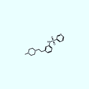 CN1CCN(CCc2cccc(NS(=O)(=O)c3cccnc3)c2)CC1